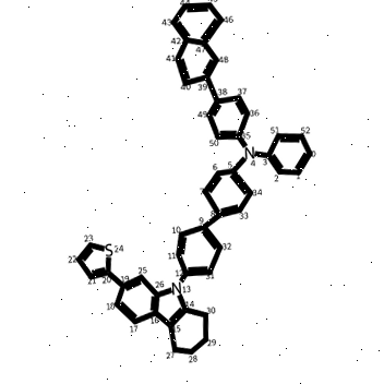 c1ccc(N(c2ccc(-c3ccc(-n4c5c(c6ccc(-c7cccs7)cc64)CCCC5)cc3)cc2)c2ccc(-c3ccc4ccccc4c3)cc2)cc1